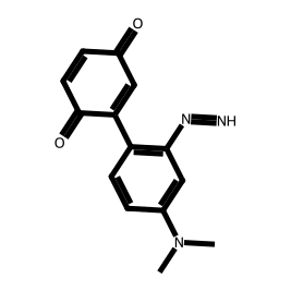 CN(C)c1ccc(C2=CC(=O)C=CC2=O)c(N=N)c1